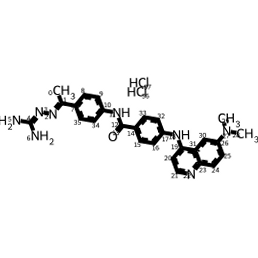 CC(=NN=C(N)N)c1ccc(NC(=O)c2ccc(Nc3ccnc4ccc(N(C)C)cc34)cc2)cc1.Cl.Cl